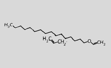 C=COCCCCCCCCCCCCCCCC.[CH2]C=C